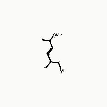 COC(C)C=CC(C)CO